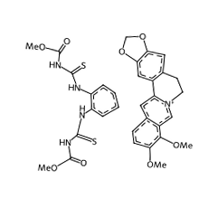 COC(=O)NC(=S)Nc1ccccc1NC(=S)NC(=O)OC.COc1ccc2cc3[n+](cc2c1OC)CCc1cc2c(cc1-3)OCO2